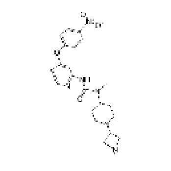 CN1CC(N2CCC(N(C)C(=O)Nc3cc(Oc4ccc([N+](=O)[O-])cc4)ccn3)CC2)C1